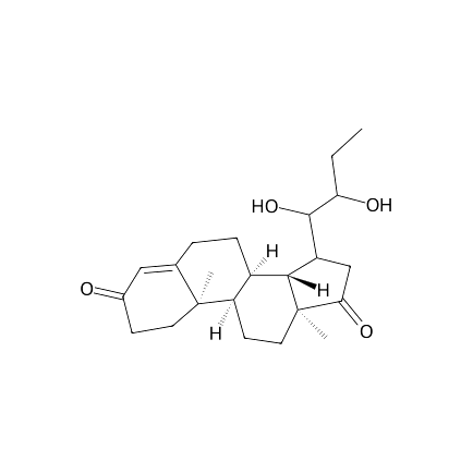 CCC(O)C(O)C1CC(=O)[C@@]2(C)CC[C@@H]3[C@@H](CCC4=CC(=O)CC[C@@]43C)[C@H]12